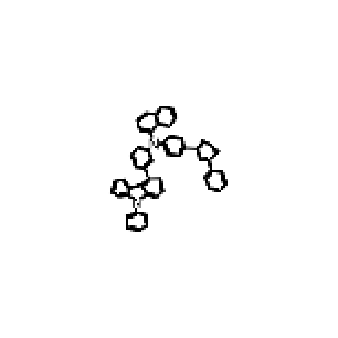 c1ccc(-c2cccc(-c3ccc(N(c4cccc(-c5cccc6c5c5ccccc5n6-c5ccccc5)c4)c4cccc5ccccc45)cc3)c2)cc1